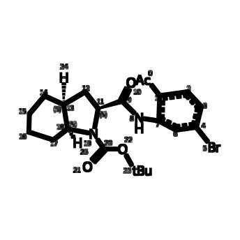 CC(=O)c1ccc(Br)cc1NC(=O)[C@@H]1C[C@@H]2CCCC[C@@H]2N1C(=O)OC(C)(C)C